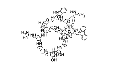 C[C@@H]1NC(=O)[C@@H]2CCC(C)(C)CC[C@H](NC(=O)CNC(=O)OCC3c4ccccc4-c4ccccc43)C(=O)N[C@@H](CCCC[C@@H](C(N)=O)NC(=O)[C@H](CCCNC(=N)N)NC(=O)[C@H](Cc3cc4ccccc4[nH]3)NC1=O)C(=O)N[C@@H](CO)C(=O)N[C@@H](CC(=O)O)C(=O)N1CCCC1C(=O)N[C@@H](CCCNC(=N)N)C(=O)N2